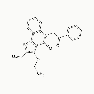 CCOc1c(C=O)sc2c1c(=O)n(CC(=O)c1ccccc1)c1ccccc21